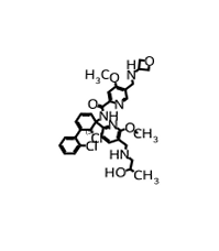 COc1cc(C(=O)NC2(c3ccc(CNCC(C)O)c(OC)n3)C=CC=C(c3ccccc3Cl)[C@@H]2Cl)ncc1CNC1COC1